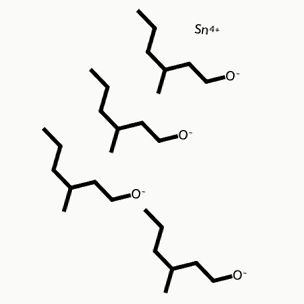 CCCC(C)CC[O-].CCCC(C)CC[O-].CCCC(C)CC[O-].CCCC(C)CC[O-].[Sn+4]